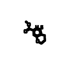 COC(=O)c1ccc2c(c1)OCCC2.S